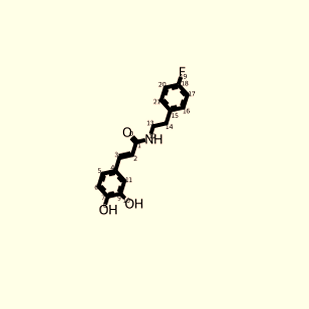 O=C(/C=C/c1ccc(O)c(O)c1)NCCc1ccc(F)cc1